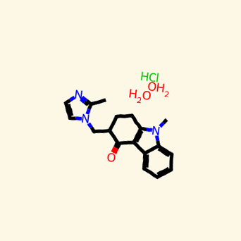 Cc1nccn1CC1CCc2c(c3ccccc3n2C)C1=O.Cl.O.O